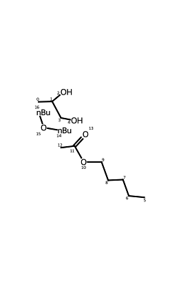 CC(O)CO.CCCCCOC(C)=O.CCCCOCCCC